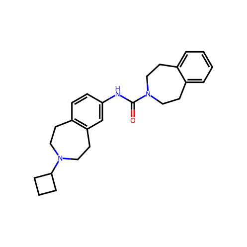 O=C(Nc1ccc2c(c1)CCN(C1CCC1)CC2)N1CCc2ccccc2CC1